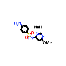 COc1cc(NS(=O)(=O)c2ccc(N)cc2)ncn1.[NaH]